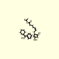 CC(C)OC(=O)CCC/C=C\C[C@@H]1[C@@H](c2ccc(C(O)C3CCCCC3)cc2)[C@H](O)C[C@H]1Cl